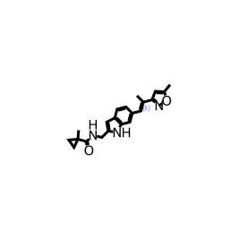 C/C(=C\c1ccc2cc(CNC(=O)C3(C)CC3)[nH]c2c1)c1cc(C)on1